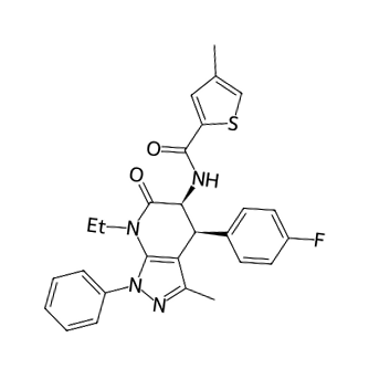 CCN1C(=O)[C@@H](NC(=O)c2cc(C)cs2)[C@@H](c2ccc(F)cc2)c2c(C)nn(-c3ccccc3)c21